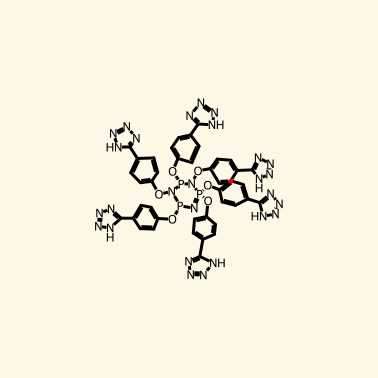 c1cc(-c2nnn[nH]2)ccc1ON1P(Oc2ccc(-c3nnn[nH]3)cc2)N=P(Oc2ccc(-c3nnn[nH]3)cc2)(Oc2ccc(-c3nnn[nH]3)cc2)N(Oc2ccc(-c3nnn[nH]3)cc2)P1Oc1ccc(-c2nnn[nH]2)cc1